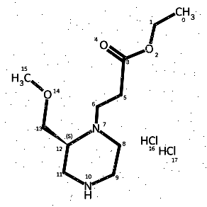 CCOC(=O)CCN1CCNC[C@H]1COC.Cl.Cl